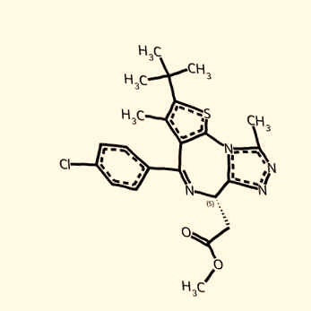 COC(=O)C[C@@H]1N=C(c2ccc(Cl)cc2)c2c(sc(C(C)(C)C)c2C)-n2c(C)nnc21